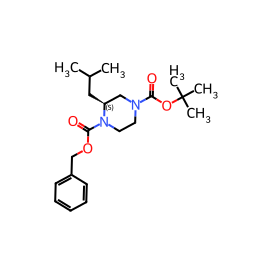 CC(C)C[C@H]1CN(C(=O)OC(C)(C)C)CCN1C(=O)OCc1ccccc1